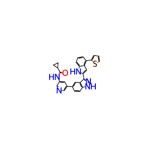 O=C(Nc1cncc(-c2ccc3[nH]nc(-c4cc5c(-c6cccs6)cccc5[nH]4)c3c2)c1)C1CC1